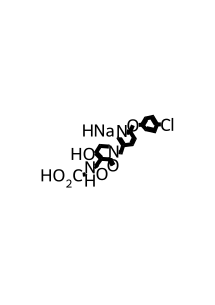 O=C(O)CNC(=O)C1=C(O)CCN(Cc2ccc(Oc3ccc(Cl)cc3)nc2)C1=O.[NaH]